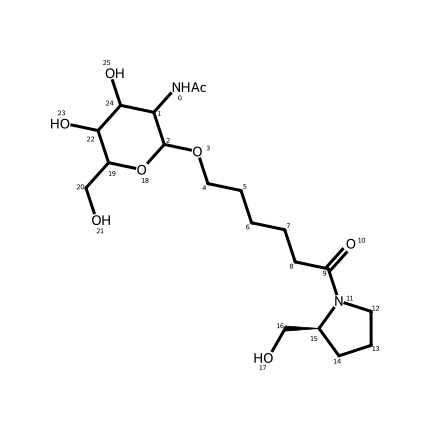 CC(=O)NC1C(OCCCCCC(=O)N2CCC[C@H]2CO)OC(CO)C(O)C1O